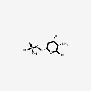 N[C@@H]1C(O)O[C@H](COP(=O)(O)O)C[C@@H]1O